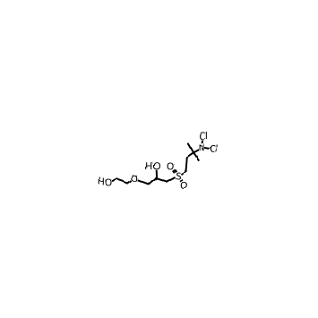 CC(C)(CCS(=O)(=O)CC(O)COCCO)N(Cl)Cl